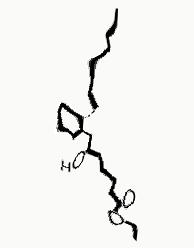 CCCCCC/C=C/[C@H]1CCC[C@@H]1C/C(O)=C/CCCC(=O)OCC